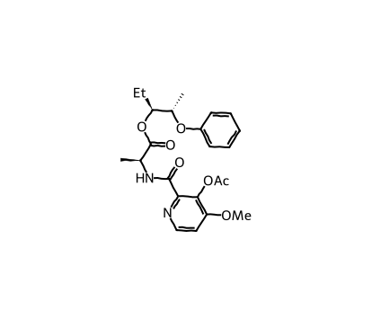 CC[C@H](OC(=O)[C@H](C)NC(=O)c1nccc(OC)c1OC(C)=O)[C@H](C)Oc1ccccc1